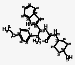 COc1ccc([C@H](C)[C@@H](NC(=O)NC2CCC(O)CC2)c2nc3ccccc3[nH]2)cc1